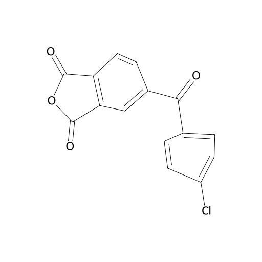 O=C(c1ccc(Cl)cc1)c1ccc2c(c1)C(=O)OC2=O